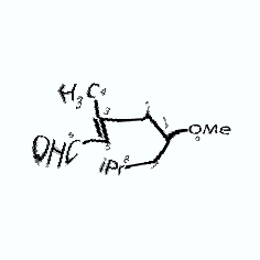 COC(CC(C)=CC=O)CC(C)C